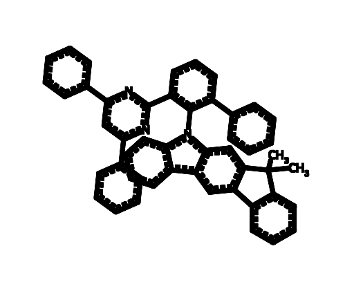 CC1(C)c2ccccc2-c2cc3c4ccccc4n(-c4c(-c5ccccc5)cccc4-c4nc(-c5ccccc5)cc(-c5ccccc5)n4)c3cc21